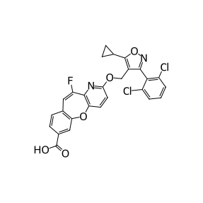 O=C(O)c1ccc2c(c1)Oc1ccc(OCc3c(-c4c(Cl)cccc4Cl)noc3C3CC3)nc1C(F)=C2